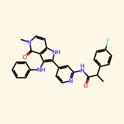 CC(C(=O)Nc1cc(-c2[nH]c3ccn(C)c(=O)c3c2Nc2ccccc2)ccn1)c1ccc(F)cc1